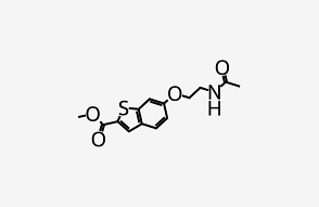 COC(=O)c1cc2ccc(OCCNC(C)=O)cc2s1